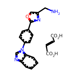 NCc1coc(-c2ccc(-n3cnc4ccccc43)cc2)n1.O=C(O)/C=C/C(=O)O